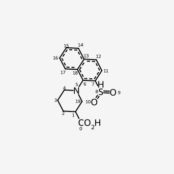 O=C(O)C1CCCN(c2c([SH](=O)=O)ccc3ccccc23)C1